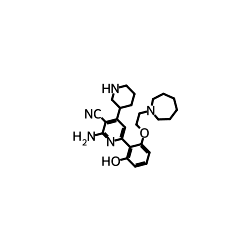 N#Cc1c(C2CCCNC2)cc(-c2c(O)cccc2OCCN2CCCCCC2)nc1N